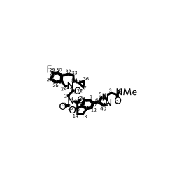 CNC(=O)Cn1cc(-c2ccc3c(c2)CCC32OC(=O)N(CC(=O)N3Cc4ccc(F)cc4CC[C@H]3C3CC3)C2=O)cn1